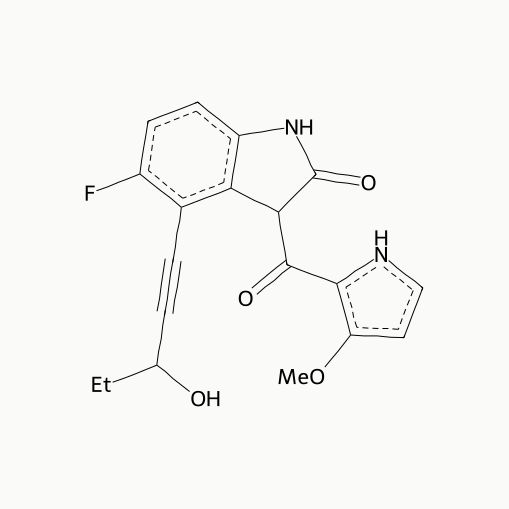 CCC(O)C#Cc1c(F)ccc2c1C(C(=O)c1[nH]ccc1OC)C(=O)N2